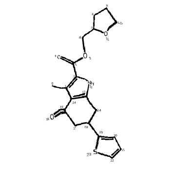 Cc1c(C(=O)OCC2CCCO2)[nH]c2c1C(=O)CC(c1cccs1)C2